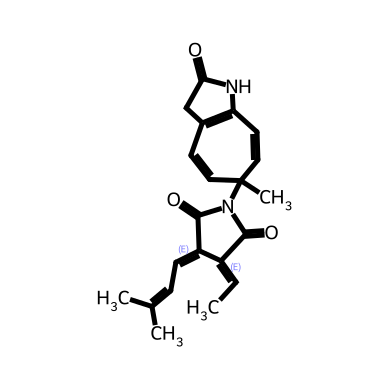 C/C=C1/C(=O)N(C2(C)C=CC3=C(C=C2)NC(=O)C3)C(=O)/C1=C/C=C(C)C